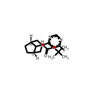 CC(C)(C)OC(=O)NC1[C@@H]2CC[C@H]1CN(c1cc(F)ncn1)C2